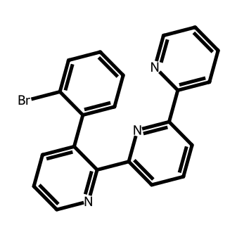 Brc1ccccc1-c1cccnc1-c1cccc(-c2ccccn2)n1